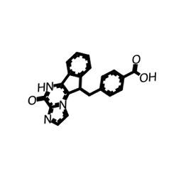 O=C(O)c1ccc(CC2c3ccccc3-c3[nH]c(=O)c4nccn4c32)cc1